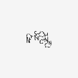 O=C(Nc1ccccn1)c1cccc2sc(-c3cccnc3)nc12